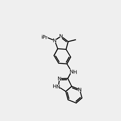 CC1=NN(C(C)C)C2C=CC(Nc3n[nH]c4cccnc34)=CC12